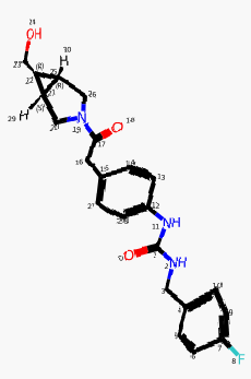 O=C(NCc1ccc(F)cc1)Nc1ccc(CC(=O)N2C[C@@H]3[C@@H](CO)[C@@H]3C2)cc1